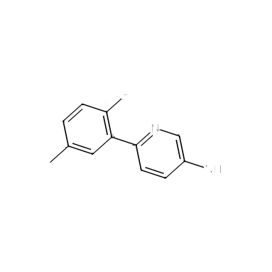 Cc1ccc(F)c(-c2ccc(N)cn2)c1